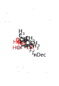 CCCCCCCCCCCCCC(=O)O[C@H]1[C@@H]2C=C(CO)C[C@]3(O)C(=O)C(C)=C[C@H]3[C@@]2(O)[C@H](C)CC1(C)C